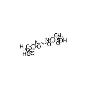 Cc1cc2nc(C=Cc3nc4cc(C)c(S(=O)(=O)O)cc4o3)oc2cc1S(=O)(=O)O